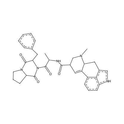 CC(NC(=O)C1C=C2c3cccc4[nH]cc(c34)CC2N(C)C1)C(=O)N1C(=O)C2CCCN2C(=O)C1Cc1ccccc1